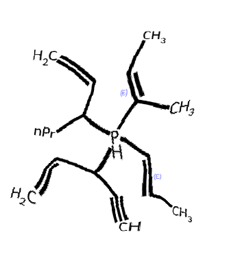 C#CC(C=C)[PH](/C=C/C)(/C(C)=C/C)C(C=C)CCC